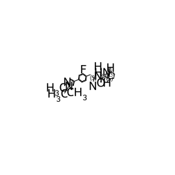 CC(C)(C)n1cc(-c2ccc(C[C@@H](C#N)NC(=O)[C@H]3N[C@@H]4CC[C@H]3C4)c(F)c2)cn1